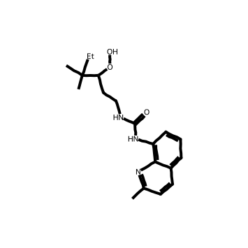 CCC(C)(C)C(CCNC(=O)Nc1cccc2ccc(C)nc12)OO